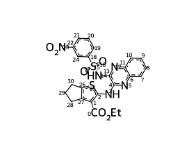 CCOC(=O)c1c(Nc2nc3ccccc3nc2NS(=O)(=O)c2cccc([N+](=O)[O-])c2)sc2c1CCC2